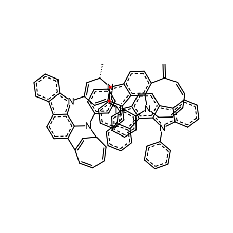 C=C1/C=C\C=C/CN(c2ccccc2)c2c1ccc1c2c2ccccc2n1[C@@H](C)/C=C(\C=C(/C)n1c2ccccc2c2c1ccc1c3ccccc3n(-c3ccccc3)c12)n1c2ccccc2c2ccc3c(c21)N(c1ccccc1)C1C=CC=CC3=C1